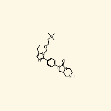 CCc1cnc(-c2ccc(N3CC4CNCCN4C3=O)cc2)n1COCC[Si](C)(C)C